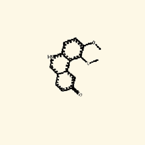 COc1ccc2[nH]cc3ccc(=O)cc-3c2c1OC